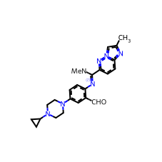 CN/C(=N\c1ccc(N2CCN(C3CC3)CC2)cc1C=O)c1ccc2nc(C)cn2n1